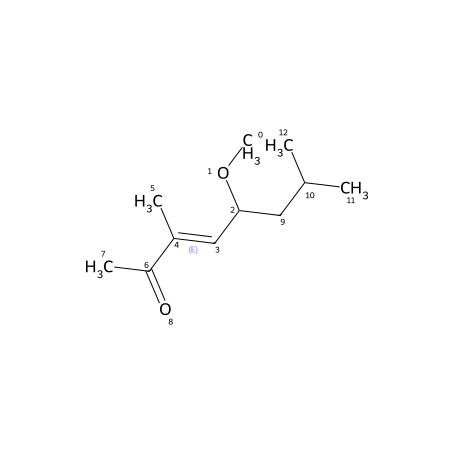 COC(/C=C(\C)C(C)=O)CC(C)C